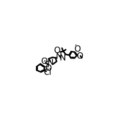 COc1ccc(C2=NN(C3CCN(S(=O)(=O)c4ccccc4Cl)CC3)C(=O)C2(C)C)cc1OC